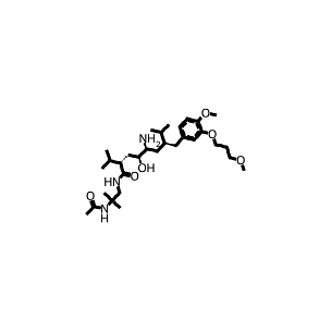 COCCCOc1cc(C[C@@H](C[C@H](N)[C@@H](O)C[C@H](C(=O)NCC(C)(C)NC(C)=O)C(C)C)C(C)C)ccc1OC